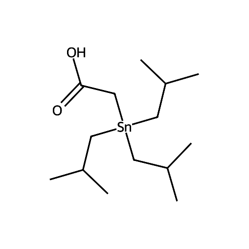 CC(C)[CH2][Sn]([CH2]C(=O)O)([CH2]C(C)C)[CH2]C(C)C